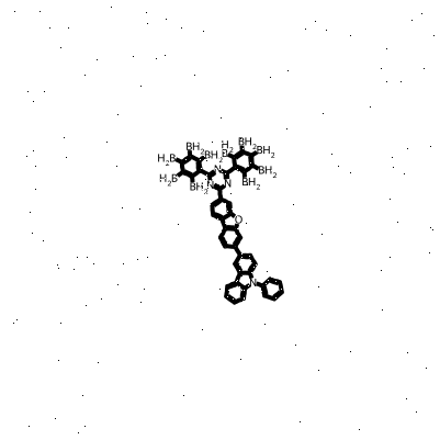 Bc1c(B)c(B)c(-c2nc(-c3ccc4c(c3)oc3cc(-c5ccc6c(c5)c5ccccc5n6-c5ccccc5)ccc34)nc(-c3c(B)c(B)c(B)c(B)c3B)n2)c(B)c1B